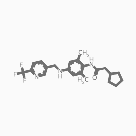 Cc1cc(NCc2ccc(C(F)(F)F)nc2)cc(C)c1NC(=O)CC1CCCC1